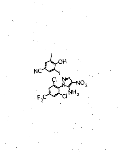 N#Cc1cc(I)c(O)c(I)c1.Nc1c([N+](=O)[O-])cnn1-c1c(Cl)cc(C(F)(F)F)cc1Cl